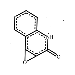 O=c1[nH]c2ccccc2c2c1O2